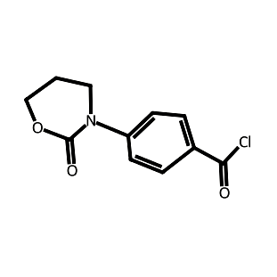 O=C(Cl)c1ccc(N2CCCOC2=O)cc1